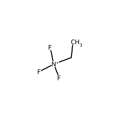 CC[N+](F)(F)F